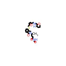 CC(CCC(=O)NC=O)N1Cc2c(SCc3ccc(CNCC4CCCCO4)o3)cccc2C1=O